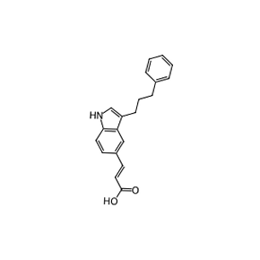 O=C(O)C=Cc1ccc2[nH]cc(CCCc3ccccc3)c2c1